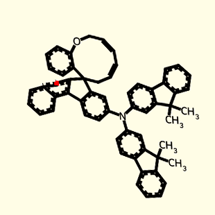 CC1(C)c2ccccc2-c2ccc(N(c3ccc4c(c3)C(C)(C)c3ccccc3-4)c3ccc4c(c3)C3(C/C=C\C=C/COc5ccccc53)c3ccc5ccccc5c3-4)cc21